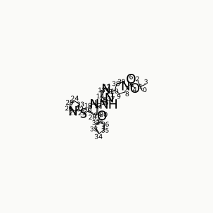 CC(C)(C)OC(=O)N1CCC(c2nccc(Nc3ncc(Sc4ccccn4)cc3Oc3ccccc3)n2)CC1